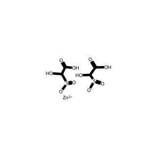 O=C(O)C(O)S(=O)[O-].O=C(O)C(O)S(=O)[O-].[Zn+2]